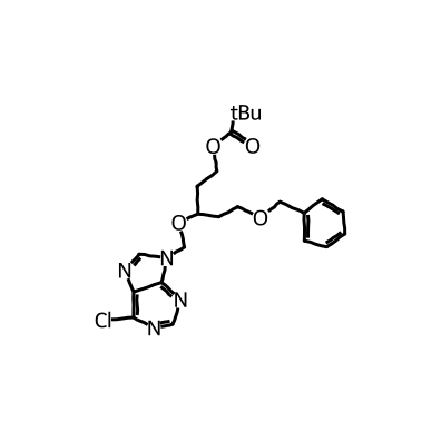 CC(C)(C)C(=O)OCCC(CCOCc1ccccc1)OCn1cnc2c(Cl)ncnc21